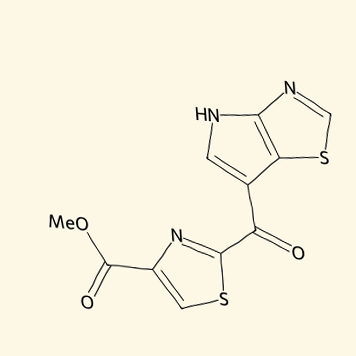 COC(=O)c1csc(C(=O)c2c[nH]c3ncsc23)n1